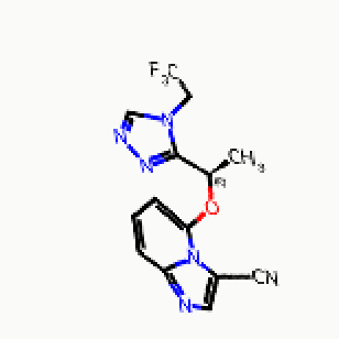 C[C@@H](Oc1cccc2ncc(C#N)n12)c1nncn1CC(F)(F)F